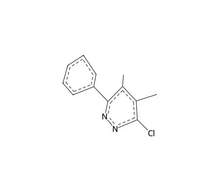 Cc1c(Cl)nnc(-c2ccccc2)c1C